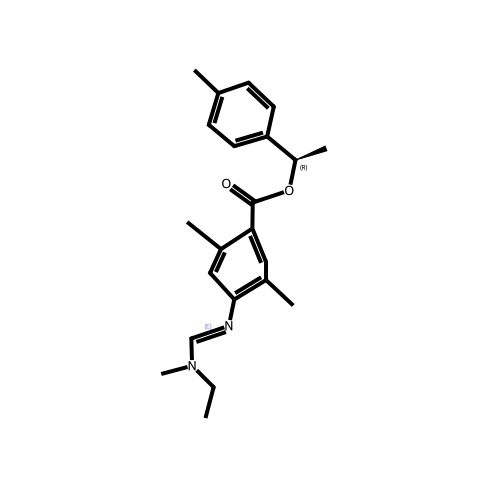 CCN(C)/C=N/c1cc(C)c(C(=O)O[C@H](C)c2ccc(C)cc2)cc1C